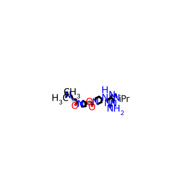 CC(C)n1cnc2c(NC3CCN(C(=O)O[C@H]4CCN(C(=O)/C=C/CN(C)C)C4)CC3)nc(N)nc21